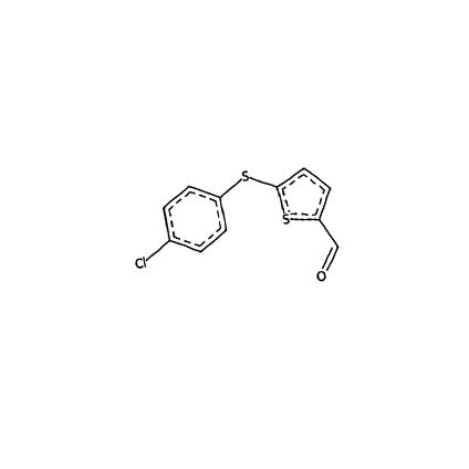 O=Cc1ccc(Sc2ccc(Cl)cc2)s1